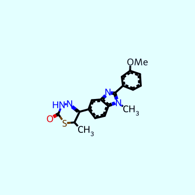 COc1cccc(-c2nc3cc(C4=NNC(=O)SC4C)ccc3n2C)c1